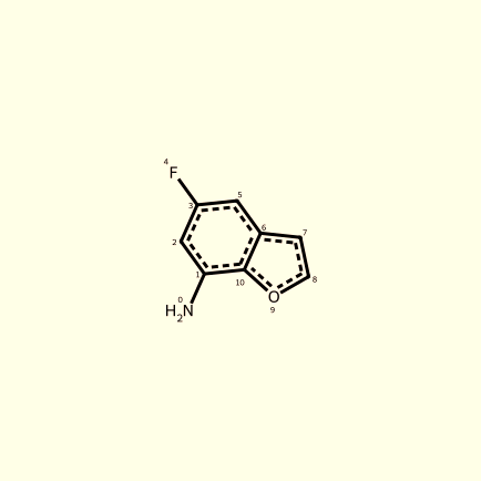 Nc1cc(F)cc2ccoc12